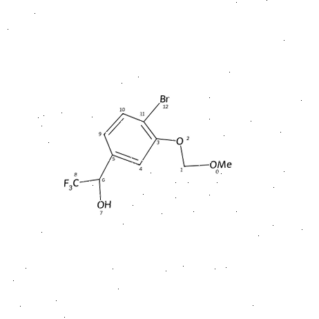 COCOc1cc(C(O)C(F)(F)F)ccc1Br